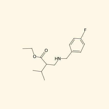 CCOC(=O)C(CNCc1ccc(F)cc1)C(C)C